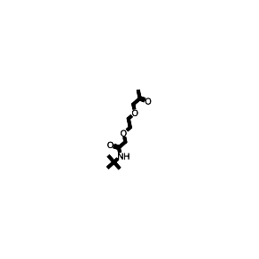 CC(=O)COCCOCC(=O)NC(C)(C)C